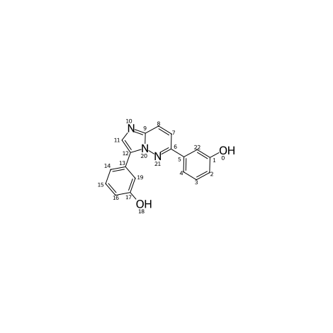 Oc1cccc(-c2ccc3ncc(-c4cccc(O)c4)n3n2)c1